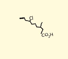 C=CCC(Cl)CCCC(C)CCC(=O)O